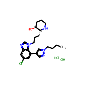 CCCCn1cc(-c2cc(Cl)cc3ncn(CCC[C@H]4NCCC[C@@H]4O)c23)cn1.Cl.Cl